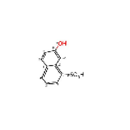 O=S(=O)(O)c1cccc2ccc(O)cc12